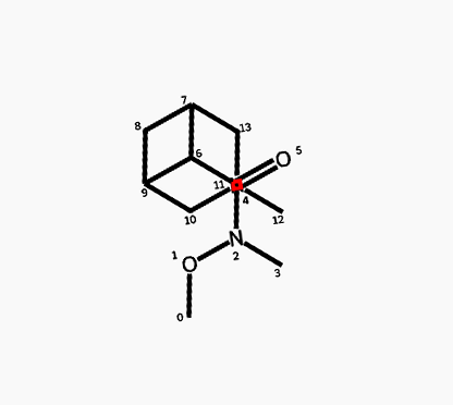 CON(C)C(=O)C1C2CC1CN(C)C2